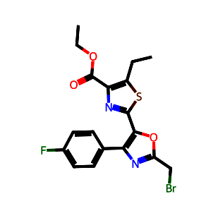 CCOC(=O)c1nc(-c2oc(CBr)nc2-c2ccc(F)cc2)sc1CC